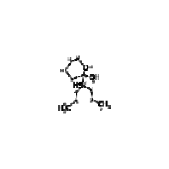 CCC[SiH](CCC)C1(O)CCCCO1